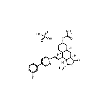 C[C@H]1OC(=O)[C@@H]2C[C@@H]3C[C@H](OC(N)=O)CC[C@H]3[C@H](C=Cc3ccc(-c4cccc(F)c4)cn3)[C@H]12.O=S(=O)(O)O